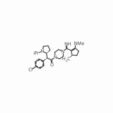 CNC1=C(C(=N)N2CCN(C(=O)[C@@H](c3ccc(Cl)cc3)[C@@H]3CCCN3C(C)C)CC2)[C@H](C)CC1